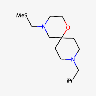 CSCN1CCOC2(CCN(CC(C)C)CC2)C1